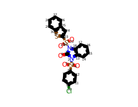 O=c1n(S(=O)(=O)c2ccc(Cl)cc2)c2ccccc2n1S(=O)(=O)c1cc2ccccc2s1